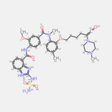 COc1cc(C(=O)N(C)c2ccc(C)cc2OCCCCC(=C=O)N2CCN(C)CC2)ccc1NC(=O)c1cccc2[nH]c(NS(N)(=O)=O)nc12